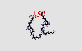 CC/C=C\C/C=C\C/C=C\C/C=C\C/C=C\CCCCCC(=O)O.CCCCC/C=C\C/C=C\C/C=C\C/C=C\CCCCCC(=O)O